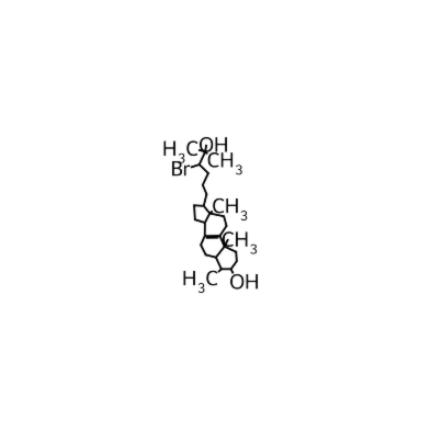 CC1C(O)CCC2(C)C3=C(CCC12)C1CCC(CCCC(Br)C(C)(C)O)C1(C)CC3